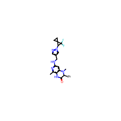 Cc1nc(NCc2cnn(C3C(F)(F)C34CC4)c2)cc2c1NC(=O)C(C(C)C)N2C